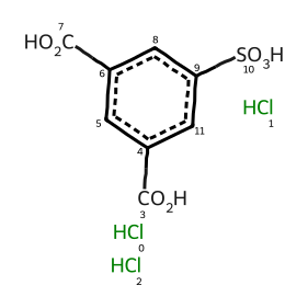 Cl.Cl.Cl.O=C(O)c1cc(C(=O)O)cc(S(=O)(=O)O)c1